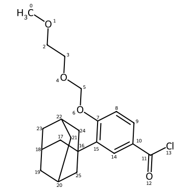 COCCOCOc1ccc(C(=O)Cl)cc1C12CC3CC(CC(C3)C1)C2